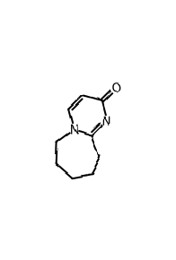 O=c1ccn2c(n1)CCCCC2